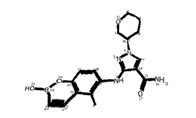 Cc1c(Nc2nn([C@@H]3CCCOC3)cc2C(N)=O)ccc2c1C=CB(O)O2